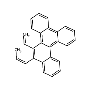 C=Cc1c(/C=C\C)c2ccccc2c2c3ccccc3c3ccccc3c12